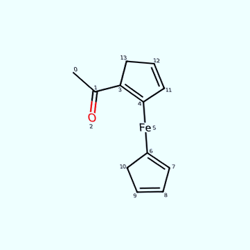 CC(=O)C1=[C]([Fe][C]2=CC=CC2)C=CC1